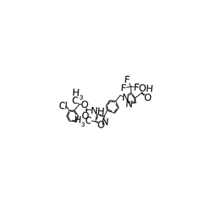 Cc1onc(-c2ccc(Cn3ncc(C(=O)O)c3C(F)(F)F)cc2)c1NC(=O)OC(C)c1ccccc1Cl